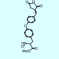 COC(=O)C(Cc1ccc(Oc2ccc(/C=C3\SC(=O)NC3=O)cc2)cc1)NCl